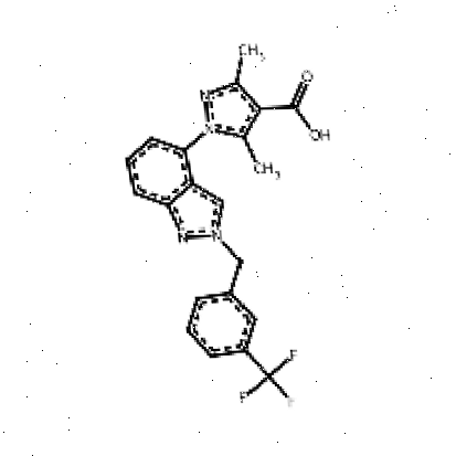 Cc1nn(-c2cccc3nn(Cc4cccc(C(F)(F)F)c4)cc23)c(C)c1C(=O)O